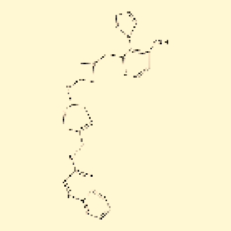 O=C(O)c1cccc(CN2CC(Oc3ccc(COc4cnc5ccccc5c4)cc3)C2)c1-n1cccc1